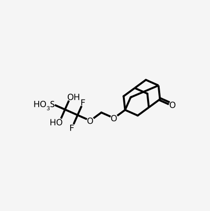 O=C1C2CC3CC1CC(OCOC(F)(F)C(O)(O)S(=O)(=O)O)(C3)C2